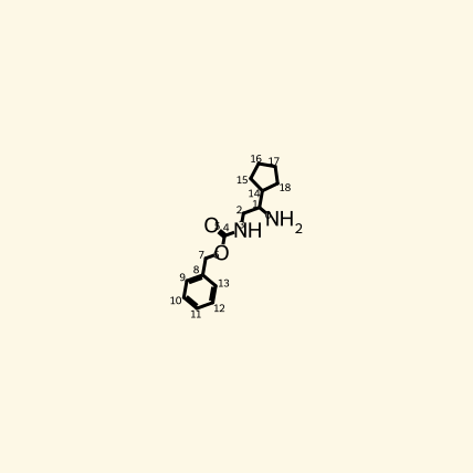 NC(CNC(=O)OCc1ccccc1)C1CCCC1